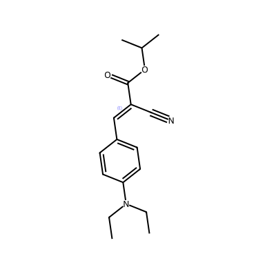 CCN(CC)c1ccc(/C=C(\C#N)C(=O)OC(C)C)cc1